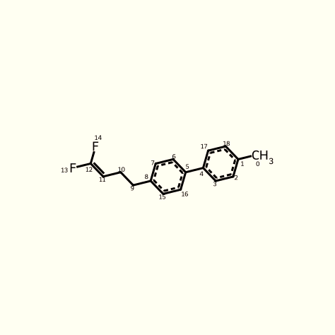 Cc1ccc(-c2ccc(CCC=C(F)F)cc2)cc1